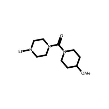 CCN1CCN(C(=O)N2CCC(OC)CC2)CC1